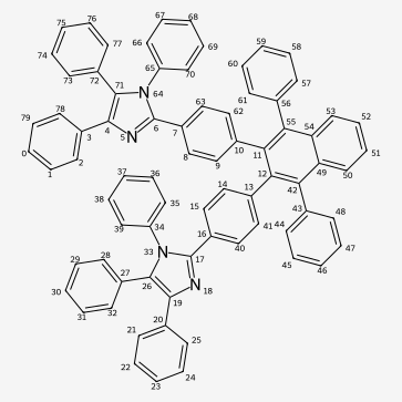 c1ccc(-c2nc(-c3ccc(-c4c(-c5ccc(-c6nc(-c7ccccc7)c(-c7ccccc7)n6-c6ccccc6)cc5)c(-c5ccccc5)c5ccccc5c4-c4ccccc4)cc3)n(-c3ccccc3)c2-c2ccccc2)cc1